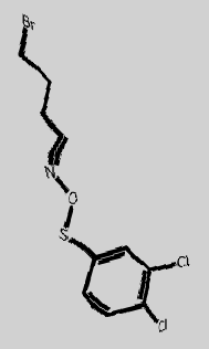 Clc1ccc(SON=CCCCBr)cc1Cl